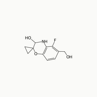 OCc1ccc2c(c1F)NC(O)C1(CC1)O2